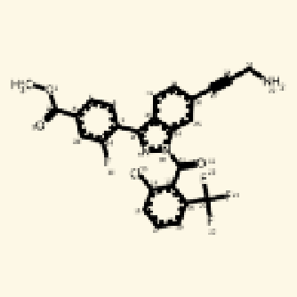 COC(=O)c1ccc(-c2nn(C(=O)c3c(Cl)cccc3C(F)(F)F)c3cc(C#CCN)ccc23)c(F)c1